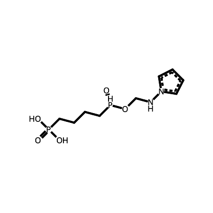 O=[PH](CCCCP(=O)(O)O)OCNn1cccc1